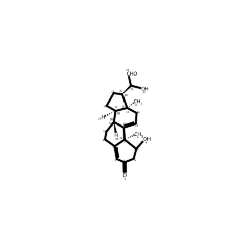 C[C@@]12C(=CC(=O)CC1O)CC[C@H]1C2=CC[C@@]2(C)[C@@H]1CC[C@H]2C(O)C=O